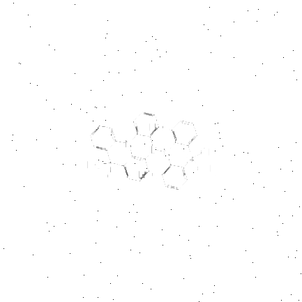 Cc1cccc2c1N(B1c3ccccc3N3c4ccccc4C(C)(C)c4cccc1c43)c1c(C)cccc1[Si]2(C)C